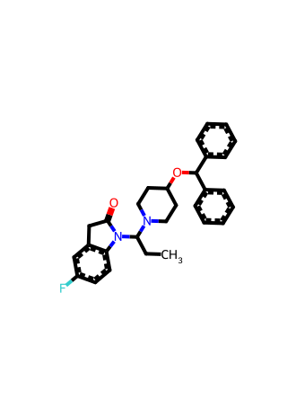 CCC(N1CCC(OC(c2ccccc2)c2ccccc2)CC1)N1C(=O)Cc2cc(F)ccc21